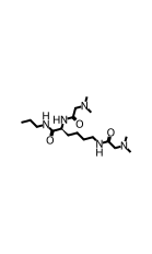 CCCNC(=O)[C@H](CCCCNC(=O)CN(C)C)NC(=O)CN(C)C